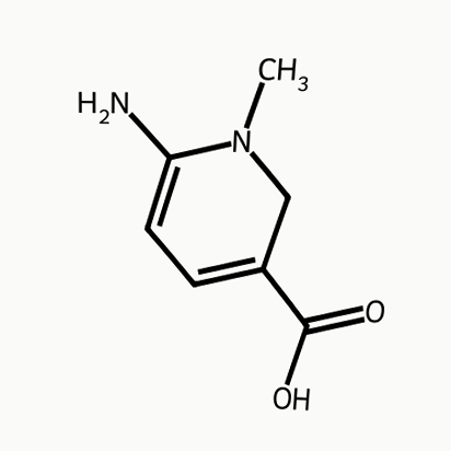 CN1CC(C(=O)O)=CC=C1N